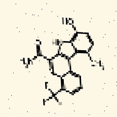 Cc1ccc(O)c2[nH]c3c(C(N)=O)nc4c(C(F)(F)F)cccc4c3c12